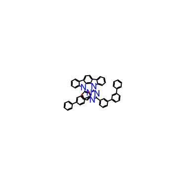 c1ccc(-c2ccc(-c3nc(-c4cccc(-c5cccc(-c6ccccc6)c5)c4)nc(-n4c5ccccc5c5ccc6c7ccccc7n(-c7ccccc7)c6c54)n3)cc2)cc1